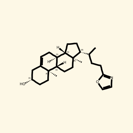 CC(CCc1ncco1)[C@H]1CC[C@H]2[C@@H]3CC=C4C[C@@H](O)CC[C@]4(C)[C@H]3CC[C@]12C